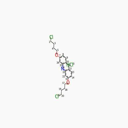 Cl.ClCCCCOc1ccc2cc3ccc(OCCCCCl)cc3nc2c1